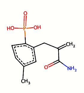 C=C(Cc1cc(C)ccc1P(=O)(O)O)C(N)=O